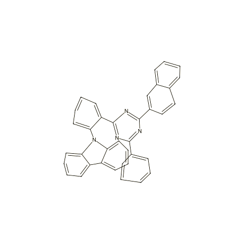 c1ccc(-c2nc(-c3ccc4ccccc4c3)nc(-c3ccccc3-n3c4ccccc4c4ccccc43)n2)cc1